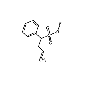 C=CCC(c1ccccc1)S(=O)(=O)OF